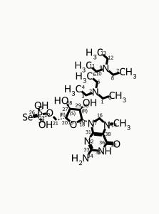 CCN(CC)CC.CCN(CC)CC.CN1CN([C@@H]2O[C@H](COP(O)(O)=[Se])[C@@H](O)[C@H]2O)c2nc(N)[nH]c(=O)c21